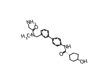 CN(Cc1cccc(-c2ccc(NC(=O)[C@H]3CC[C@H](O)CC3)cc2)c1)C(=O)CN